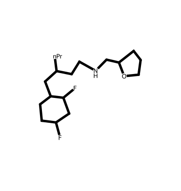 CCCC(CCNCC1CCCO1)CC1CCC(F)CC1F